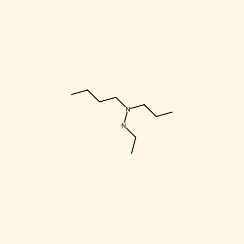 CCCCN(CCC)[N]CC